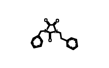 O=C1C(=O)N(Cc2ccccc2)C(=O)N1CCc1ccccc1